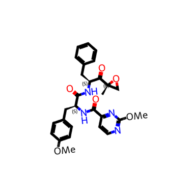 COc1ccc(C[C@H](NC(=O)c2ccnc(OC)n2)C(=O)N[C@@H](Cc2ccccc2)C(=O)[C@@]2(C)CO2)cc1